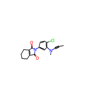 CC#CN(C)c1cc(N2C(=O)C3=C(CCCC3)C2=O)ccc1Cl